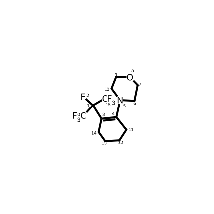 FC(F)(F)C(F)(C1=C(N2CCOCC2)CCCC1)C(F)(F)F